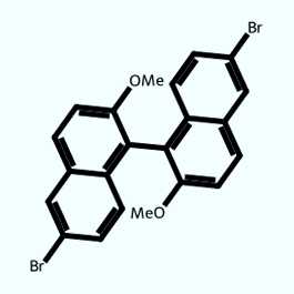 COc1ccc2cc(Br)ccc2c1-c1c(OC)ccc2cc(Br)ccc12